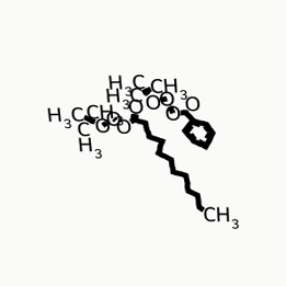 CC(C)(C)OOOC(=O)c1ccccc1.CCCCCCCCCCCC(=O)OOOC(C)(C)C